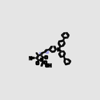 C=C(OO)N1C(=O)C(C#N)=C(C)/C(=C/C=C/c2ccc(N(c3ccc(-c4ccccc4)cc3)c3ccc(-c4ccccc4)cc3)cc2)C1=O